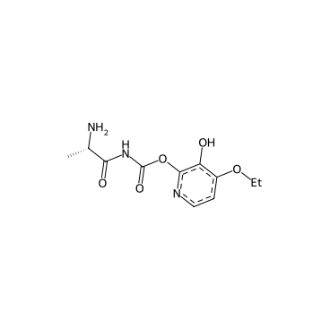 CCOc1ccnc(OC(=O)NC(=O)[C@H](C)N)c1O